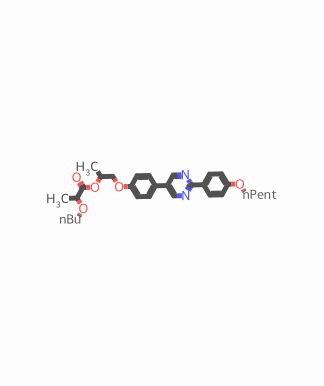 CCCCCOc1ccc(-c2ncc(-c3ccc(OCC(C)OC(=O)C(C)OCCCC)cc3)cn2)cc1